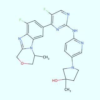 CC1COCc2nc3c(F)cc(-c4nc(Nc5ccc(N6CCC(C)(O)C6)cn5)ncc4F)cc3n21